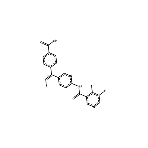 C/C=C(/c1ccc(C(=O)O)cc1)c1ccc(NC(=O)c2cncc(F)c2C)nc1